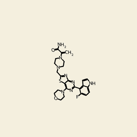 C=C(C(N)=O)N1CCN(Cc2nc3nc(-c4c(F)ccc5[nH]ccc45)nc(N4CCOCC4)c3s2)CC1